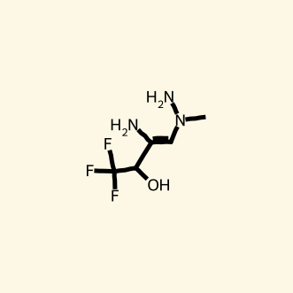 CN(N)/C=C(\N)C(O)C(F)(F)F